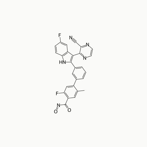 Cc1cc(C(=O)N=O)c(F)cc1-c1cccc(-c2[nH]c3ccc(F)cc3c2-c2nccnc2C#N)c1